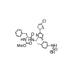 COC(=O)N[C@@H](Cc1ccccc1)C(=O)N[C@@H](Cc1ccc(N[SH](=O)=O)cc1)c1nc(C2CC=C(Cl)S2)cs1